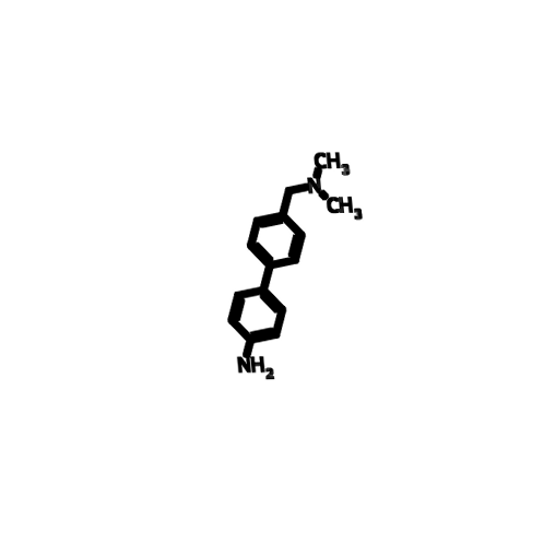 CN(C)Cc1ccc(-c2ccc(N)cc2)cc1